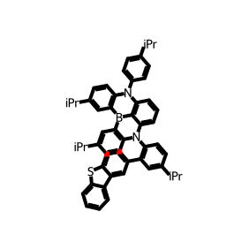 CC(C)c1ccc(N2c3ccc(C(C)C)cc3B3c4cc(C(C)C)ccc4N(c4ccc(C(C)C)cc4-c4ccc5sc6ccccc6c5c4)c4cccc2c43)cc1